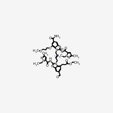 CCOC(=O)CCc1cc(C=O)cc2nc(NC(=O)c3cc(C)nn3CC)n(C/C=C/Cn3c(NC(=O)c4cc(C)nn4CC)nc4cc(C(N)=O)cc(OCCCOC)c43)c12